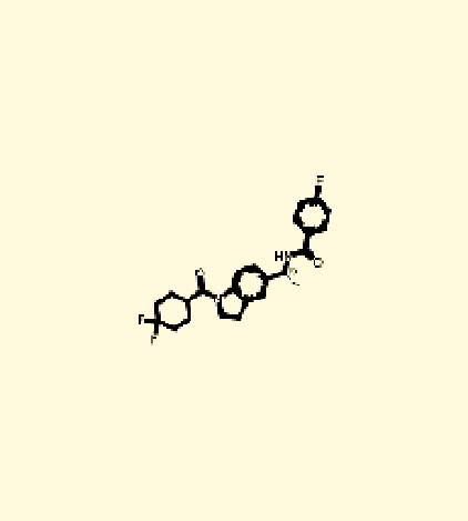 C[C@@H](NC(=O)c1ccc(F)cc1)c1ccc2c(c1)CCN2C(=O)C1CCC(F)(F)CC1